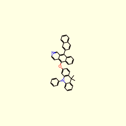 CC1(C)c2ccccc2N(c2ccccc2)c2cc(Oc3c4ccccc4c(-c4ccc5ccccc5c4)c4cnccc34)ccc21